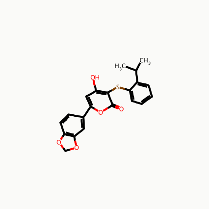 CC(C)c1ccccc1Sc1c(O)cc(-c2ccc3c(c2)OCO3)oc1=O